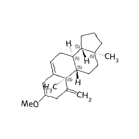 C=C1CC(OC)=CC2=CC[C@H]3[C@@H]4CCC[C@@]4(C)CC[C@@H]3[C@@]12C